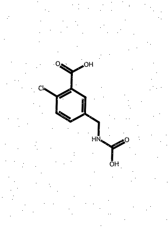 O=C(O)NCc1ccc(Cl)c(C(=O)O)c1